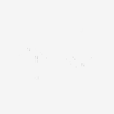 Cc1cc(-c2oc(Cc3ccccc3)nc2NS(=O)(=O)c2ccccc2)ccc1Cl.Cc1ccc(-c2oc(Cc3ccccc3)nc2NS(=O)(=O)c2ccccc2)cc1Cl